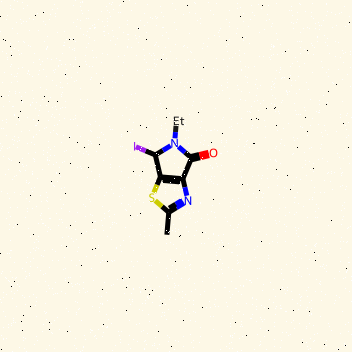 CCN1C(=O)c2nc(C)sc2C1I